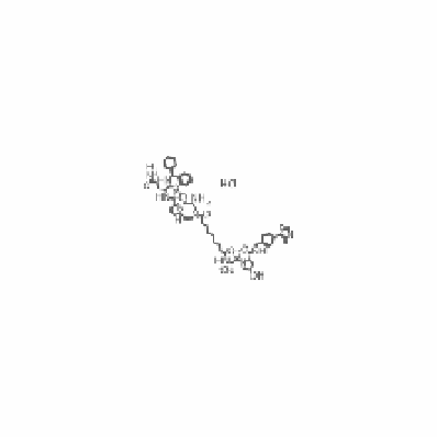 Cc1ncsc1-c1ccc(CNC(=O)[C@@H]2C[C@@H](O)CN2C(=O)[C@@H](NC(=O)CCCCCCCC(=O)N2CC[C@H]3CC[C@@H](C(=O)N[C@@H](CCC(N)=O)C(=O)NC(c4ccccc4)c4ccccc4)N3C(=O)[C@@H](N)C2)C(C)(C)C)cc1.Cl